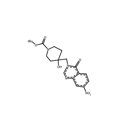 CC(C)(C)OC(=O)N1CCC(O)(Cn2cnc3cc([N+](=O)[O-])ccc3c2=O)CC1